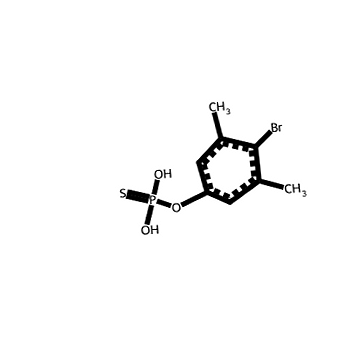 Cc1cc(OP(O)(O)=S)cc(C)c1Br